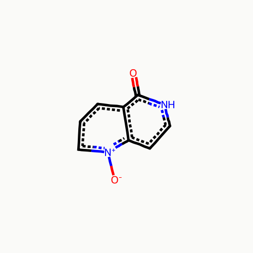 O=c1[nH]ccc2c1ccc[n+]2[O-]